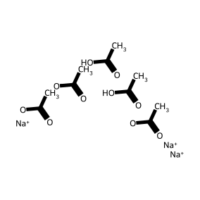 CC(=O)O.CC(=O)O.CC(=O)[O-].CC(=O)[O-].CC(=O)[O-].[Na+].[Na+].[Na+]